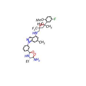 CC[C@H](NC(=O)c1cccc(-n2ncc3c(NCC(O)(CC(C)(C)c4cc(F)ccc4OC)C(F)(F)F)cc(C)cc32)c1)C(N)=O